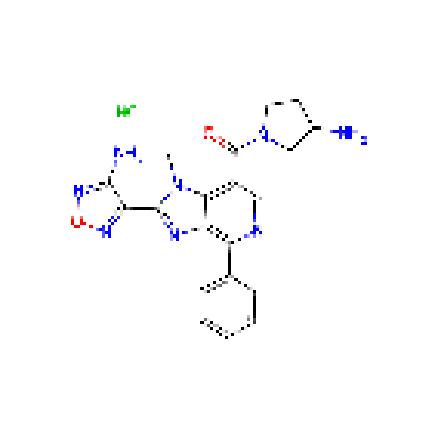 Cl.Cn1c(-c2nonc2N)nc2c(-c3ccccc3)ncc(C(=O)N3CCC(N)C3)c21